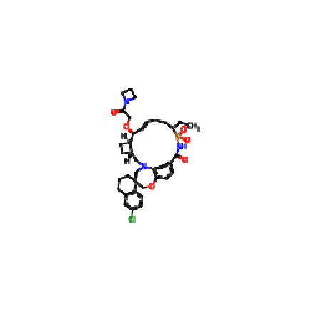 CC[C@@H]1CC/C=C/[C@H](OCC(=O)N2CCC2)[C@@H]2CC[C@H]2CN2C[C@@]3(CCCc4cc(Cl)ccc43)COc3ccc(cc32)C(=O)NS1(=O)=O